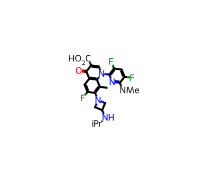 CNc1nc(-n2cc(C(=O)O)c(=O)c3cc(F)c(N4CC(NC(C)C)C4)c(C)c32)c(F)cc1F